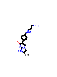 CC(C)(C)C1Cn2cc(-c3ccc(CNCCCN)cc3)c(=O)nc2N1